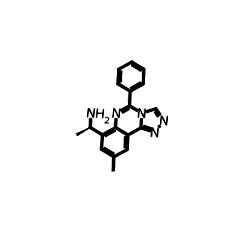 Cc1cc([C@@H](C)N)c2nc(-c3ccccc3)n3cnnc3c2c1